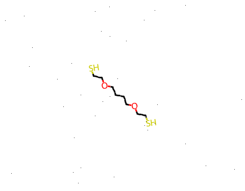 SCCOCCCCOCCS